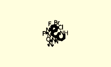 CN(C)C(=O)n1nc2c(c1-c1nc(F)nc3c(F)c(Br)c(Cl)cc13)CNCCC2